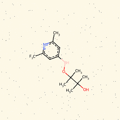 Cc1cc(BOC(C)(C)C(C)(C)O)cc(C(F)(F)F)n1